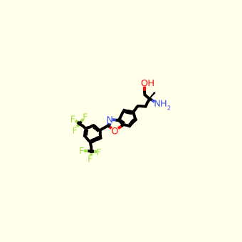 C[C@](N)(CO)CCc1ccc2oc(-c3cc(C(F)(F)F)cc(C(F)(F)F)c3)nc2c1